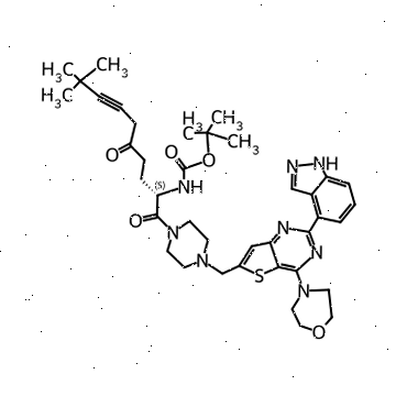 CC(C)(C)C#CCC(=O)CC[C@H](NC(=O)OC(C)(C)C)C(=O)N1CCN(Cc2cc3nc(-c4cccc5[nH]ncc45)nc(N4CCOCC4)c3s2)CC1